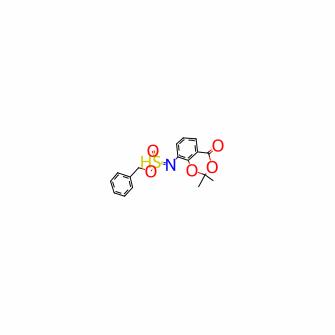 CC1(C)OC(=O)c2cccc(N=[SH](=O)OCc3ccccc3)c2O1